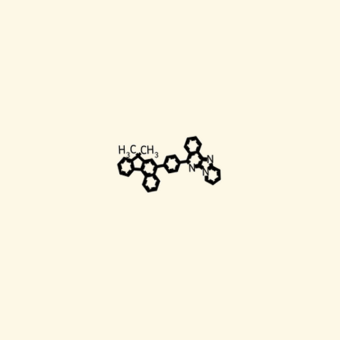 CC1(C)c2ccccc2-c2c1cc(-c1ccc(-c3nc4c(nc5ccccn54)c4ccccc34)cc1)c1ccccc21